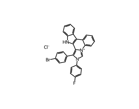 Fc1ccc(-n2c[n+]3c4ccccc4c4c5ccccc5[nH]c4c3c2-c2ccc(Br)cc2)cc1.[Cl-]